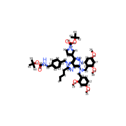 CCCCc1nc2c(N(Cc3ccc(OC)cc3OC)Cc3ccc(OC)cc3OC)nnc(C3=CCN(C(=O)OC(C)(C)C)C3)c2n1Cc1ccc(CNC(=O)OC(C)(C)C)cc1